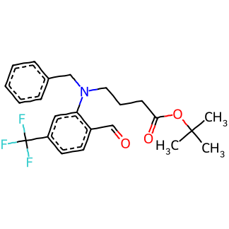 CC(C)(C)OC(=O)CCCN(Cc1ccccc1)c1cc(C(F)(F)F)ccc1C=O